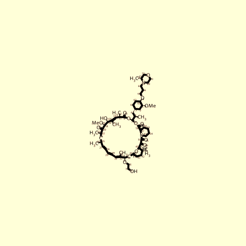 CO[C@@H]1C[C@H](C[C@@H](C)[C@@H]2CC(=O)[C@H](C)/C=C(\C)[C@@H](O)[C@@H](OC)C(=O)[C@H](C)C[C@H](C)/C=C/C=C/C=C(\C)[C@@H](OCCO)C[C@@H]3CC[C@@H](C)[C@@](O)(O3)C(=O)C(=O)N3CCCC[C@H]3C(=O)O2)CC[C@H]1OCCCN1CCOC[C@H]1C